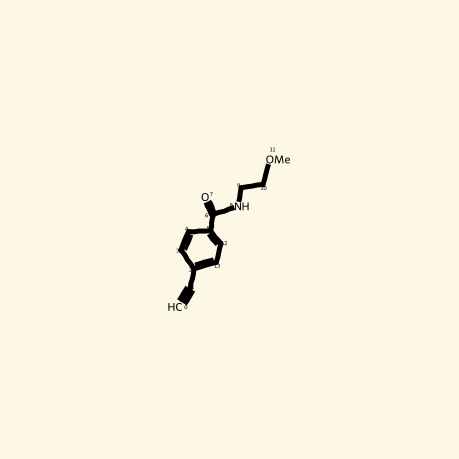 C#Cc1ccc(C(=O)NCCOC)cc1